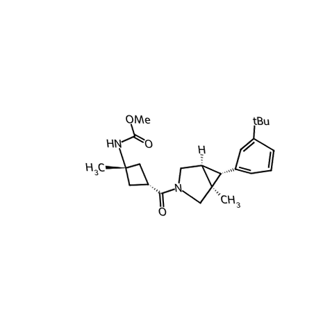 COC(=O)N[C@]1(C)C[C@H](C(=O)N2C[C@H]3[C@H](c4cccc(C(C)(C)C)c4)[C@@]3(C)C2)C1